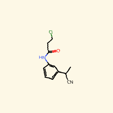 CC(C#N)c1cccc(NC(=O)CCCl)c1